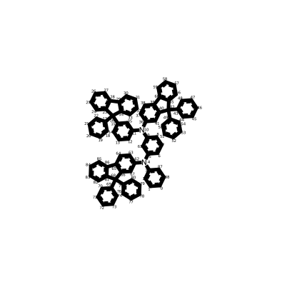 c1ccc(N(c2cccc(N(c3cccc(C4(c5ccccc5)c5ccccc5-c5ccccc54)c3)c3ccc4c(c3)C(c3ccccc3)(c3ccccc3)c3ccccc3-4)c2)c2ccc3c(c2)C(c2ccccc2)(c2ccccc2)c2ccccc2-3)cc1